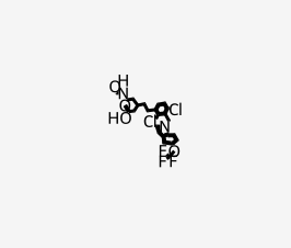 O=CNCCC(CCc1ccc(Cl)c(Cn2ccc3cc(OC(F)(F)F)ccc32)c1Cl)CC(=O)O